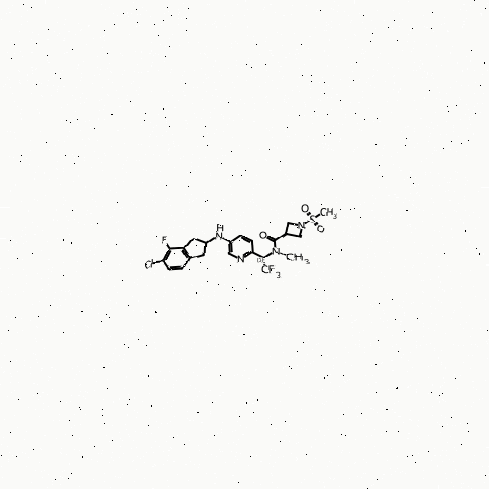 CN(C(=O)C1CN(S(C)(=O)=O)C1)[C@@H](c1ccc(NC2Cc3ccc(Cl)c(F)c3C2)cn1)C(F)(F)F